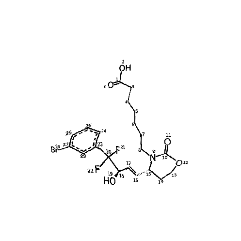 O=C(O)CCCCCCN1C(=O)OCC[C@@H]1C=C[C@@H](O)C(F)(F)c1cccc(Br)c1